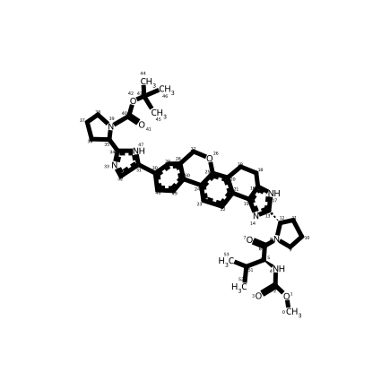 COC(=O)N[C@H](C(=O)N1CCC[C@H]1c1nc2c([nH]1)CCc1c-2ccc2c1OCc1cc(-c3cnc(C4CCCN4C(=O)OC(C)(C)C)[nH]3)ccc1-2)C(C)C